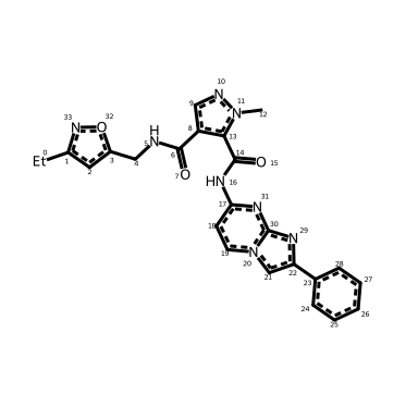 CCc1cc(CNC(=O)c2cnn(C)c2C(=O)Nc2ccn3cc(-c4ccccc4)nc3n2)on1